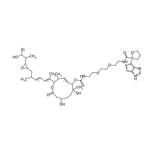 CCC(O)C(C)C1OC1CC(C)/C=C/C=C(\C)C1OC(=O)CC(O)CCC(C)(O)C(OC(=O)NCCOCCOCCNC(=O)C2(c3scc4[nH]cnc34)CCCO2)/C=C/C1C